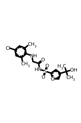 Cc1cc(Cl)cc(C)c1NCC(=O)NS(=O)(=O)c1cc(C(C)(C)O)co1